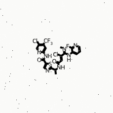 C/N=C(Nc1cccnc1F)\C(Cl)=C\C(=O)NC(C)c1ncc(C(=O)Nc2cc(C(F)(F)F)c(Cl)cn2)s1